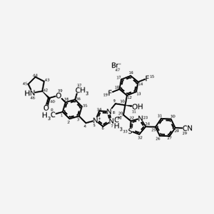 Cc1cc(C[n+]2cnn(C[C@](O)(c3cc(F)ccc3F)[C@@H](C)c3nc(-c4ccc(C#N)cc4)cs3)c2)cc(C)c1OC(=O)[C@@H]1CCCN1.[Br-]